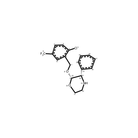 FC(F)(F)c1ccc(Cl)c(CO[C@H]2OCCN[C@H]2c2ccccc2)c1